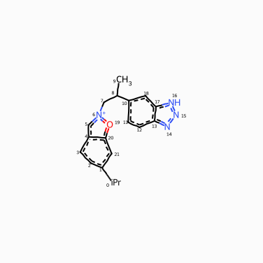 CC(C)c1ccc2c[n+](CC(C)c3ccc4nn[nH]c4c3)oc2c1